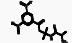 CC(N)C(=O)NC(C)(C)CC(=O)c1cc([N+](=O)[O-])cc([N+](=O)[O-])c1